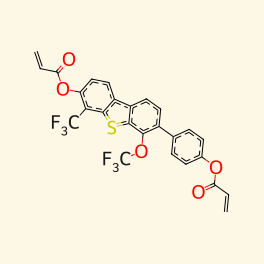 C=CC(=O)Oc1ccc(-c2ccc3c(sc4c(C(F)(F)F)c(OC(=O)C=C)ccc43)c2OC(F)(F)F)cc1